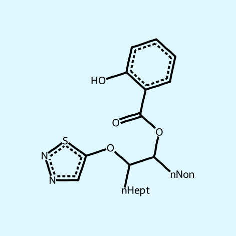 CCCCCCCCCC(OC(=O)c1ccccc1O)C(CCCCCCC)Oc1cnns1